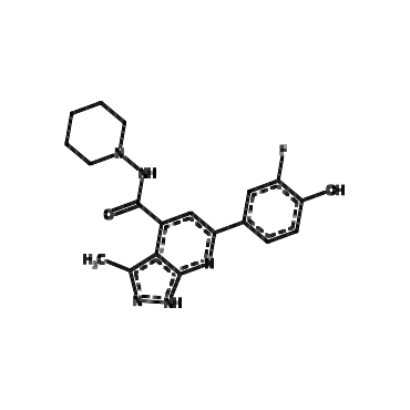 Cc1n[nH]c2nc(-c3ccc(O)c(F)c3)cc(C(=O)NN3CCCCC3)c12